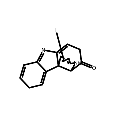 O=C1CC=C2N=C3C=CCC=C3C23C=C(I)C=CNC13